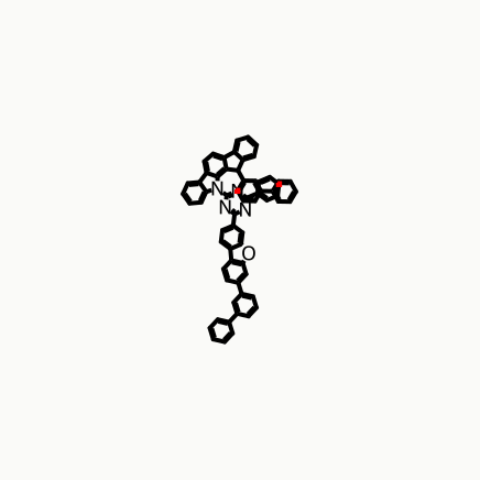 c1ccc(-c2cccc(-c3ccc4c(c3)oc3cc(-c5nc(-c6ccccc6)nc(-n6c7ccccc7c7ccc8c(c76)C(c6cccc(-c7ccccc7)c6)c6ccccc6-8)n5)ccc34)c2)cc1